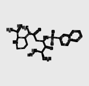 CCCN[C@H](C(=O)O)C(=O)C(CC(=O)N(C)C1CCCNC1C(=N)N)NS(=O)(=O)c1ccc2ccccc2c1